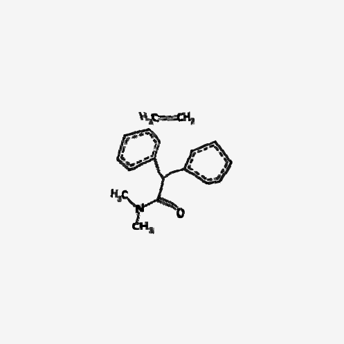 C=C.CN(C)C(=O)C(c1ccccc1)c1ccccc1